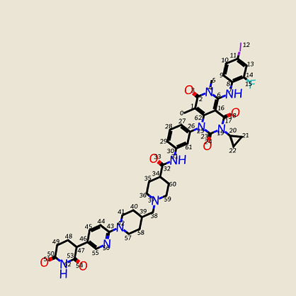 Cc1c(=O)n(C)c(Nc2ccc(I)cc2F)c2c(=O)n(C3CC3)c(=O)n(-c3cccc(NC(=O)C4CCN(CC5CCN(c6ccc(C7CCC(=O)NC7=O)cn6)CC5)CC4)c3)c12